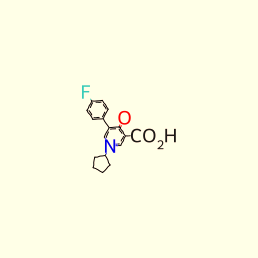 O=C(O)c1cn(C2CCCC2)cc(-c2ccc(F)cc2)c1=O